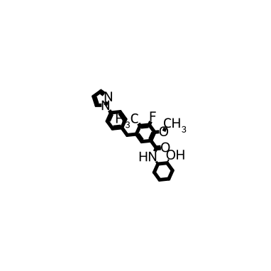 COc1c(C(=O)N[C@@H]2CCCC[C@H]2O)cc(Cc2ccc(-n3cccn3)cc2)c(C)c1F